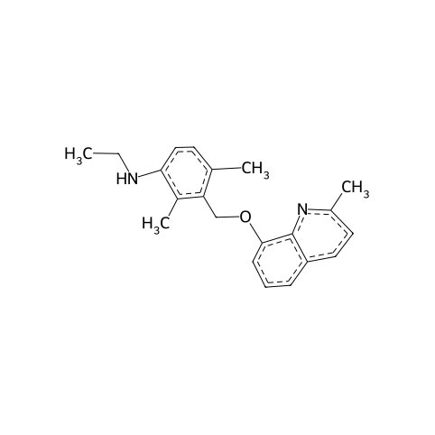 CCNc1ccc(C)c(COc2cccc3ccc(C)nc23)c1C